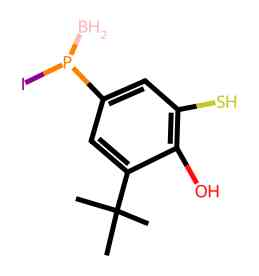 BP(I)c1cc(S)c(O)c(C(C)(C)C)c1